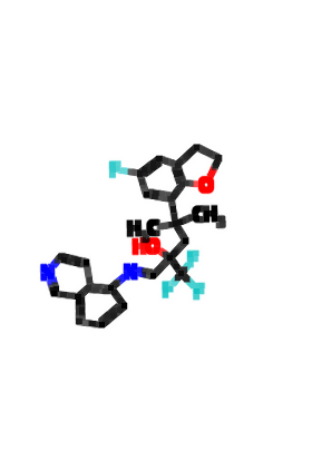 CC(C)(CC(O)(/C=N/c1cccc2cnccc12)C(F)(F)F)c1cc(F)cc2c1OCC2